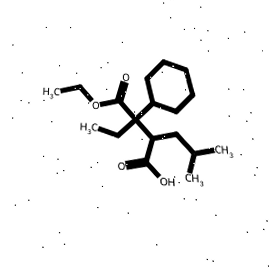 CCOC(=O)C(CC)(C1CCCCC1)C(CC(C)C)C(=O)O